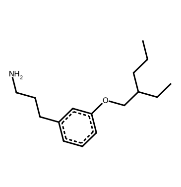 CCCC(CC)COc1cccc(CCCN)c1